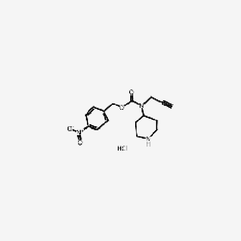 C#CCN(C(=O)OCc1ccc([N+](=O)[O-])cc1)C1CCNCC1.Cl